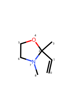 C=CC1(C)OCCN1C